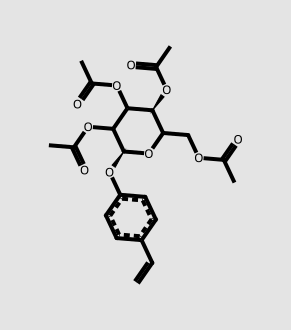 C=Cc1ccc(O[C@@H]2OC(COC(C)=O)[C@H](OC(C)=O)C(OC(C)=O)C2OC(C)=O)cc1